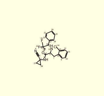 N#CC1(NC(=O)C(Cc2ccccc2Cl)N[C@@H](c2ccccc2)C(F)(F)F)CC1